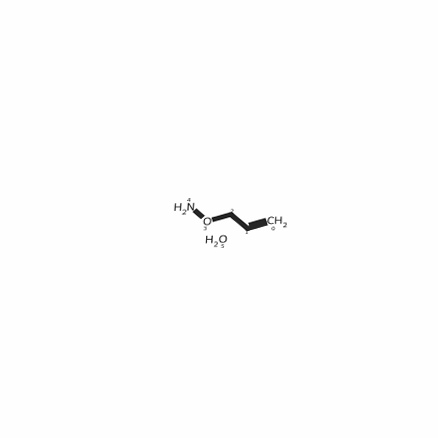 C=CCON.O